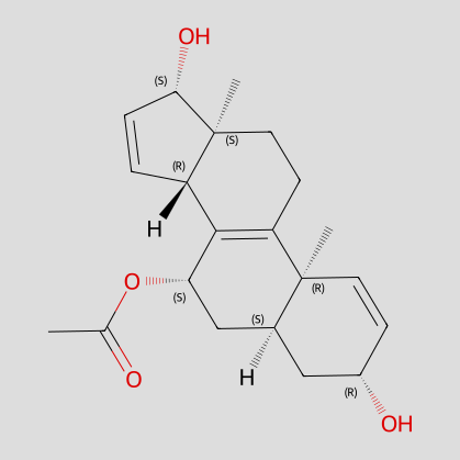 CC(=O)O[C@H]1C[C@@H]2C[C@@H](O)C=C[C@]2(C)C2=C1[C@@H]1C=C[C@H](O)[C@@]1(C)CC2